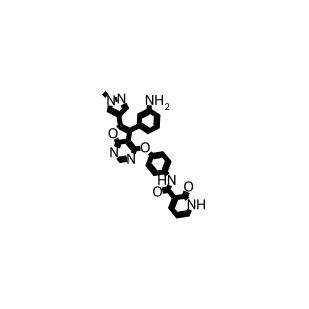 Cn1cc(-c2oc3ncnc(Oc4ccc(NC(=O)c5ccc[nH]c5=O)cc4)c3c2-c2cccc(N)c2)cn1